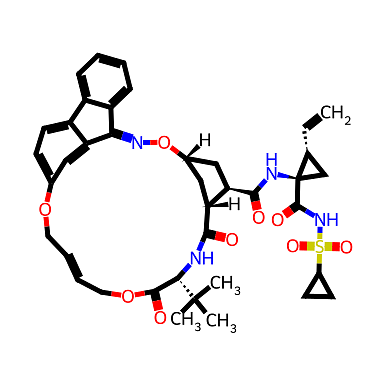 C=C[C@@H]1C[C@]1(NC(=O)[C@@H]1C[C@@H]2C[C@H]1C(=O)N[C@H](C(C)(C)C)C(=O)OC/C=C/COc1ccc3c(c1)/C(=N/O2)c1ccccc1-3)C(=O)NS(=O)(=O)C1CC1